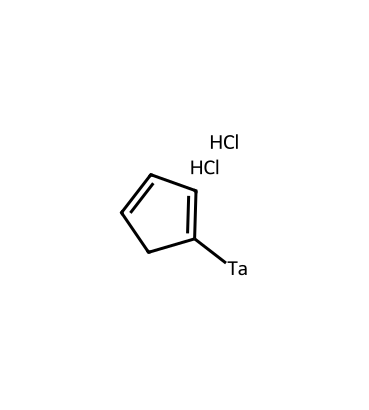 Cl.Cl.[Ta][C]1=CC=CC1